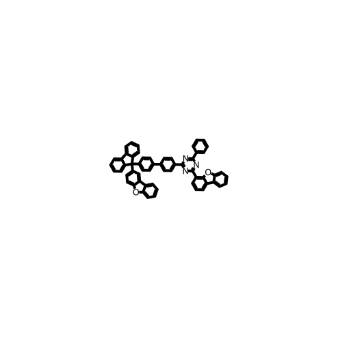 c1ccc(-c2nc(-c3ccc(-c4ccc(C5(c6ccc7oc8ccccc8c7c6)c6ccccc6-c6ccccc65)cc4)cc3)nc(-c3cccc4c3oc3ccccc34)n2)cc1